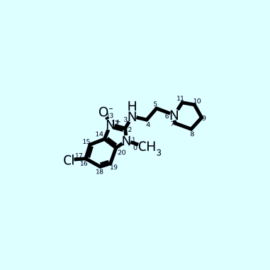 Cn1c(NCCN2CCCCC2)[n+]([O-])c2cc(Cl)ccc21